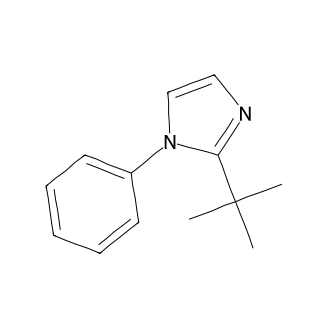 CC(C)(C)c1nccn1-c1ccccc1